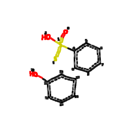 O=S(O)(=S)c1ccccc1.Oc1ccccc1